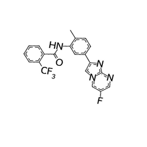 Cc1ccc(-c2cn3cc(F)cnc3n2)cc1NC(=O)c1ccccc1C(F)(F)F